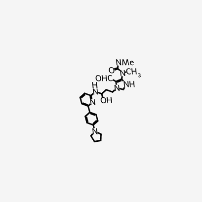 CNC(=O)N(C)C1=C(C=O)N(CCC(O)Nc2cccc(-c3ccc(N4CCCC4)cc3)n2)CN1